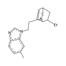 CCC1CC2C=CC1N(CCn1cnc3ccc(C)cc31)C2